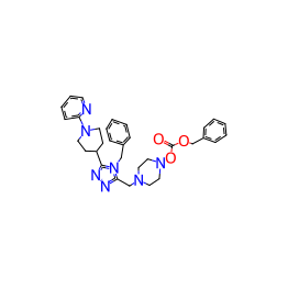 O=C(OCc1ccccc1)ON1CCN(Cc2nnc(C3CCN(c4ccccn4)CC3)n2Cc2ccccc2)CC1